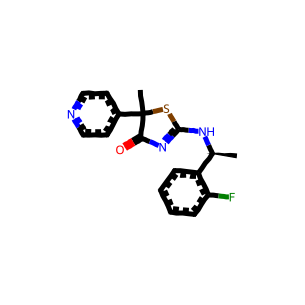 C[C@H](NC1=NC(=O)C(C)(c2ccncc2)S1)c1ccccc1F